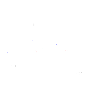 COc1ccc(CN(c2ccc(C#N)c(NC(=O)c3ccnc(C#N)c3F)c2F)S(=O)(=O)CCCF)cc1